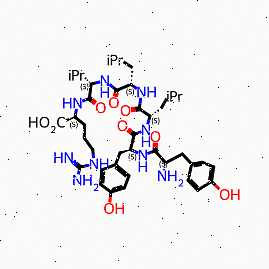 CC(C)C[C@H](NC(=O)[C@H](Cc1ccc(O)cc1)NC(=O)[C@@H](N)Cc1ccc(O)cc1)C(=O)N[C@@H](CC(C)C)C(=O)N[C@H](C(=O)N[C@@H](CCCNC(=N)N)C(=O)O)C(C)C